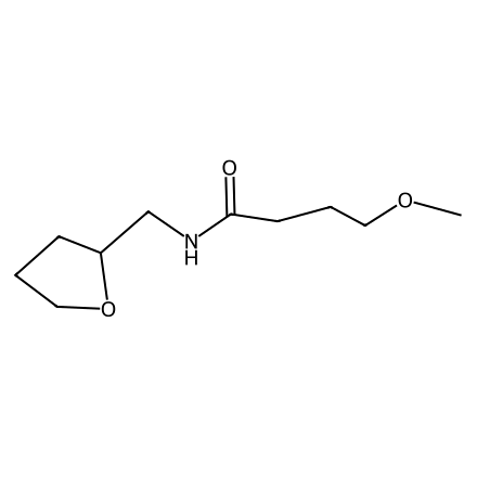 COCCCC(=O)NCC1CCCO1